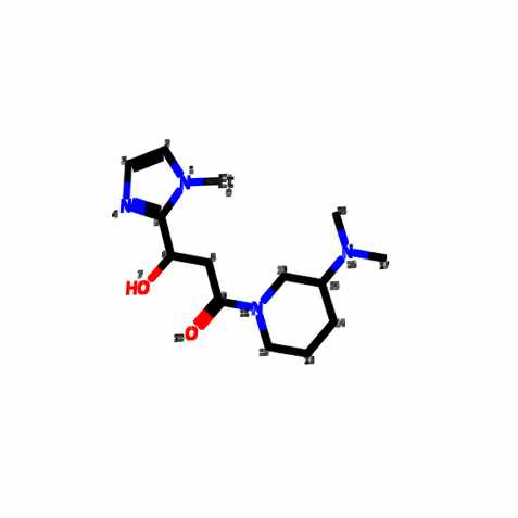 CCn1ccnc1C(O)CC(=O)N1CCCC(N(C)C)C1